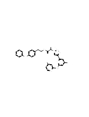 Cc1cc(Nc2cc(C(F)(F)F)ccn2)nc(-c2cn(C(C)C(=O)NCCc3ccc(Oc4ccccc4)cc3)nn2)c1